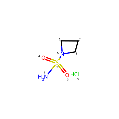 Cl.NS(=O)(=O)N1CCC1